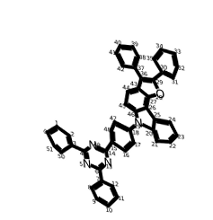 c1ccc(-c2nc(-c3ccccc3)nc(-c3ccc(-n4c5ccccc5c5c6oc(-c7ccccc7)c(-c7ccccc7)c6ccc54)cc3)n2)cc1